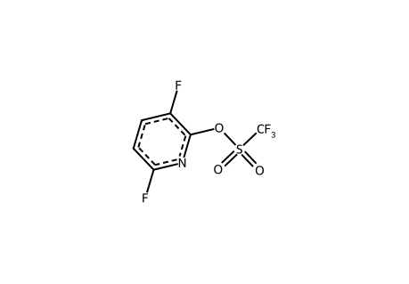 O=S(=O)(Oc1nc(F)ccc1F)C(F)(F)F